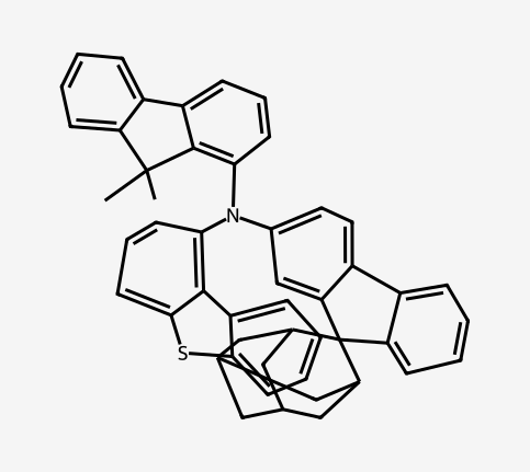 CC1(C)c2ccccc2-c2cccc(N(c3ccc4c(c3)C3(c5ccccc5-4)C4CC5CC(C4)CC3C5)c3cccc4sc5ccccc5c34)c21